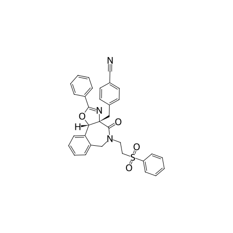 N#Cc1ccc(C[C@]23N=C(c4ccccc4)O[C@H]2c2ccccc2CN(CCS(=O)(=O)c2ccccc2)C3=O)cc1